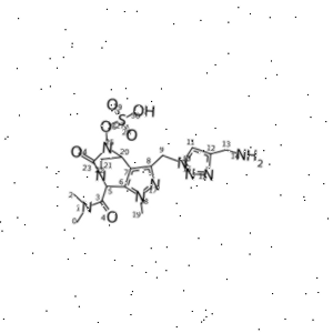 CN(C)C(=O)C1c2c(c(Cn3cc(CN)nn3)nn2C)C2CN1C(=O)N2OS(=O)(=O)O